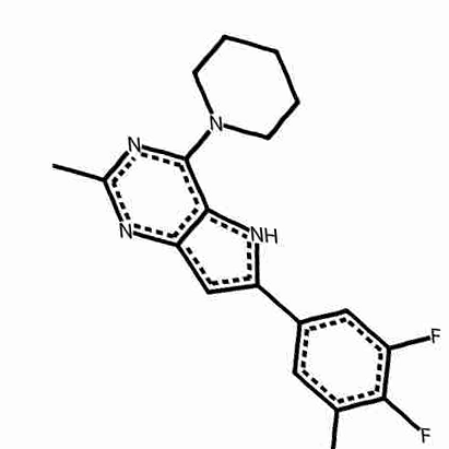 Cc1nc(N2CCCCC2)c2[nH]c(-c3cc(F)c(F)c(F)c3)cc2n1